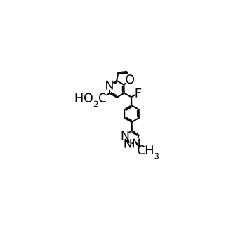 Cn1cc(-c2ccc(C(F)c3cc(C(=O)O)nc4ccoc34)cc2)nn1